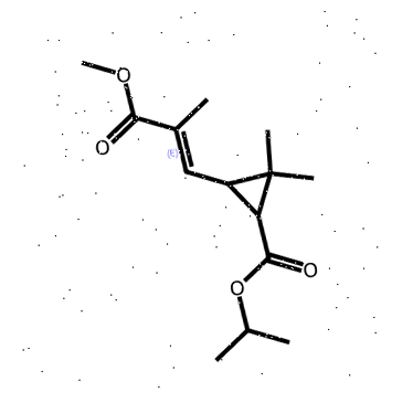 COC(=O)/C(C)=C/C1C(C(=O)OC(C)C)C1(C)C